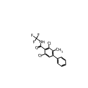 Cc1c(-c2ccccc2)cc(Cl)c(C(=O)NC(F)(F)F)c1Cl